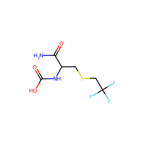 NC(=O)C(CSCC(F)(F)F)NC(=O)O